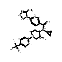 Cc1nnnn1-c1ccc(C(=O)N(C2CC2)[C@@H]2CCN(c3ccc(C(F)(F)F)cn3)C[C@@H]2F)cn1